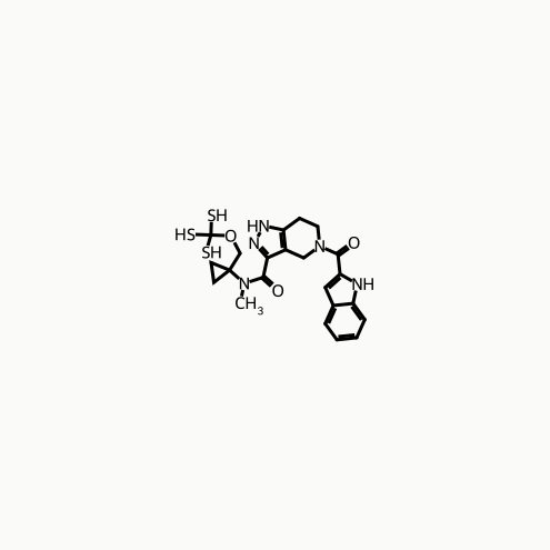 CN(C(=O)c1n[nH]c2c1CN(C(=O)c1cc3ccccc3[nH]1)CC2)C1(COC(S)(S)S)CC1